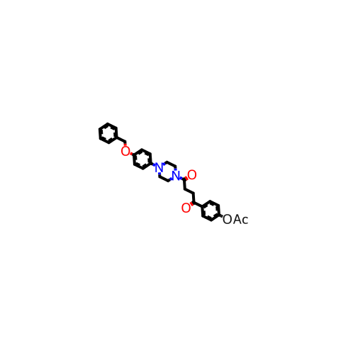 CC(=O)Oc1ccc(C(=O)CCC(=O)N2CCN(c3ccc(OCc4ccccc4)cc3)CC2)cc1